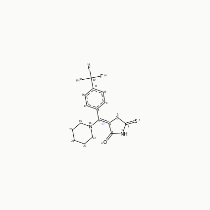 O=C1NC(=S)S/C1=C(\c1ccc(C(F)(F)F)cc1)N1CCCCC1